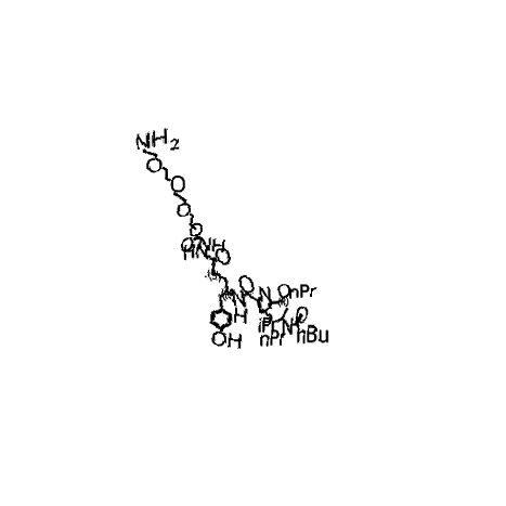 CCCCC(=O)N(CCC)C(C[C@@H](OCCC)c1nc(C(=O)N[C@@H](Cc2ccc(O)cc2)C[C@H](C)C(=O)NNC(=O)OCCOCCOCCOCCN)cs1)C(C)C